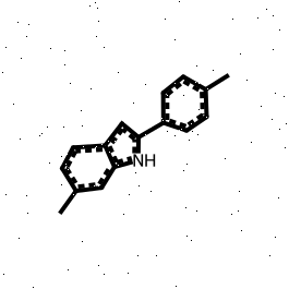 Cc1ccc(-c2cc3ccc(C)cc3[nH]2)cc1